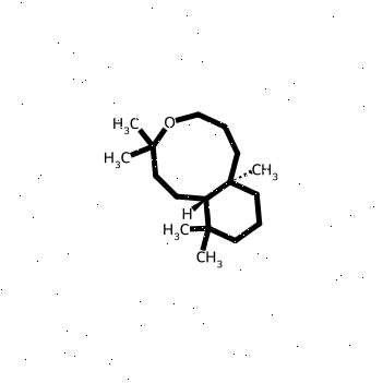 CC1(C)CC[C@H]2C(C)(C)CCC[C@]2(C)CCCO1